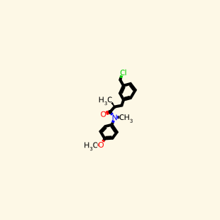 COc1ccc(N(C)C(=O)[C@@H](C)Cc2cccc(CCl)c2)cc1